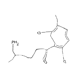 Cc1ccc(Cl)c(C(=O)CCC(C)P)c1Cl